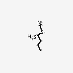 CCCCSC#N.S